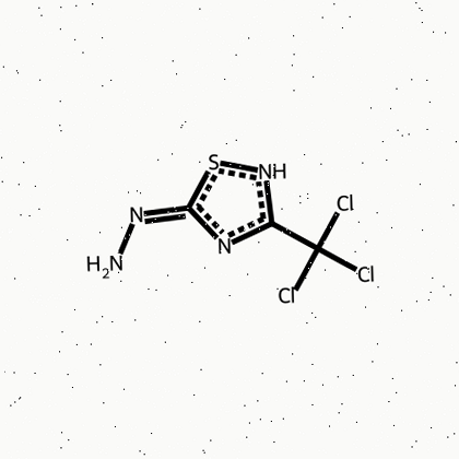 N/N=c1\nc(C(Cl)(Cl)Cl)[nH]s1